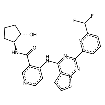 O=C(N[C@H]1CCC[C@@H]1O)c1cnccc1Nc1nc(-c2cccc(C(F)F)n2)nn2cccc12